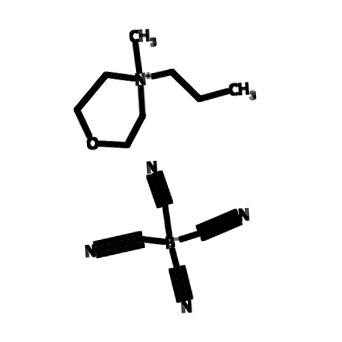 CCC[N+]1(C)CCOCC1.N#C[B-](C#N)(C#N)C#N